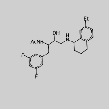 CCc1ccc2c(c1)C(NCC(O)C(Cc1cc(F)cc(F)c1)NC(C)=O)CCC2